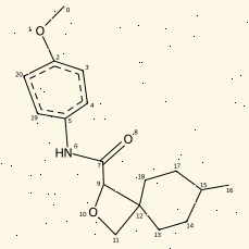 COc1ccc(NC(=O)C2OCC23CCC(C)CC3)cc1